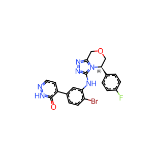 O=c1[nH]nccc1-c1ccc(Br)c(Nc2nnc3n2[C@H](c2ccc(F)cc2)COC3)c1